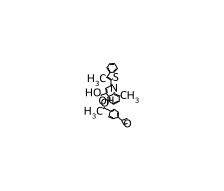 Cc1c(-c2cc(C(O)O)c3c(OC(C)c4ccc(C5COC5)cc4)ccc(C)c3n2)sc2ccccc12